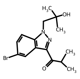 CC(C)C(=O)c1nn(CC(C)(C)O)c2ccc(Br)cc12